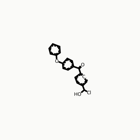 O=C(c1ccc(Oc2ccccc2)cc1)c1ccc(C(O)Cl)cc1